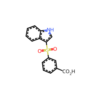 O=C(O)c1cccc(S(=O)(=O)c2c[nH]c3ccccc23)c1